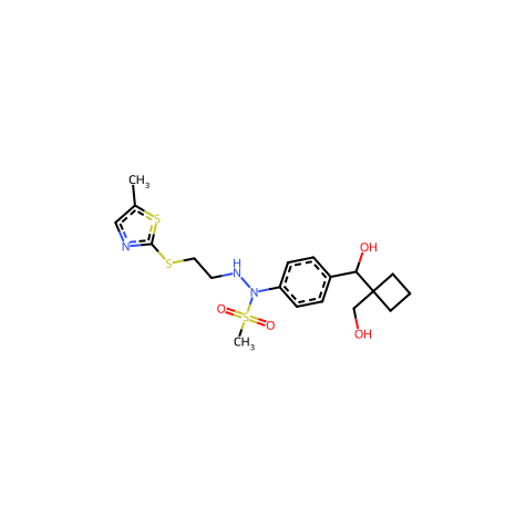 Cc1cnc(SCCNN(c2ccc(C(O)C3(CO)CCC3)cc2)S(C)(=O)=O)s1